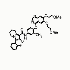 COCCOc1cc2ncnc(Oc3ccc(NC(=O)c4c5n(n(-c6ccccc6F)c4=O)CCCC5)cc3C)c2cc1OCCOC